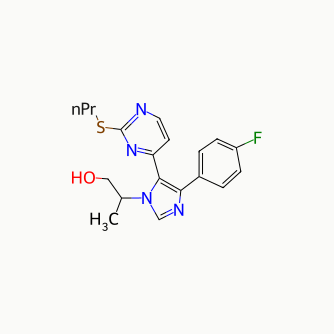 CCCSc1nccc(-c2c(-c3ccc(F)cc3)ncn2C(C)CO)n1